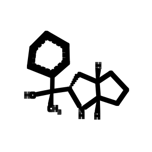 C[C@@](O)(c1ccccc1)[C@@H]1C[C@@H]2CCC[C@@H]2N1